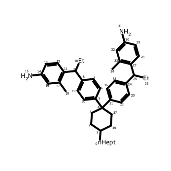 CCCCCCCC1CCC(c2ccc(C(CC)c3ccc(N)cc3C)cc2)(c2ccc(C(CC)c3ccc(N)cc3C)cc2)CC1